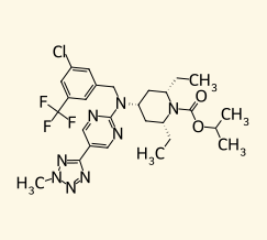 CC[C@@H]1C[C@H](N(Cc2cc(Cl)cc(C(F)(F)F)c2)c2ncc(-c3nnn(C)n3)cn2)C[C@H](CC)N1C(=O)OC(C)C